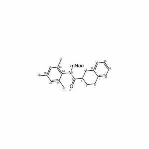 CCCCCCCCCN(C(=O)C1CCc2ccccc2C1)c1c(C)cc(C)cc1C